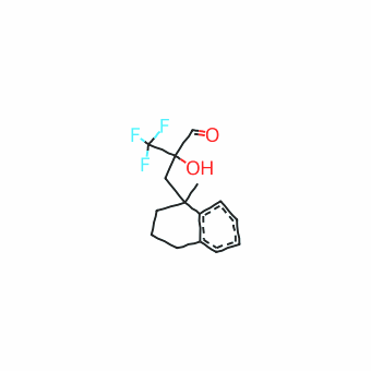 CC1(CC(O)(C=O)C(F)(F)F)CCCc2ccccc21